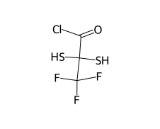 O=C(Cl)C(S)(S)C(F)(F)F